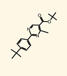 Cc1nc(-c2ccc(C(C)(C)C)cc2)ncc1C(=O)OC(C)(C)C